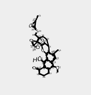 COc1c2c(c(O)c3c4c(c(C)cc13)C1CCC3(CSC5OC5C)OC1[C@@](OC)(O4)[C@@]31CO1)C(=O)CCC2